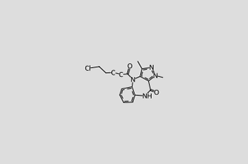 Cc1nn(C)c2c1N(C(=O)CCCCCl)c1ccccc1NC2=O